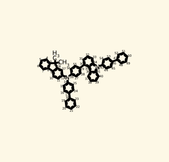 CC1(C)c2ccccc2-c2ccc(N(c3ccc(-c4ccccc4)cc3)c3ccc(-c4cccc5c4c4ccccc4n5-c4ccc(-c5ccccc5)cc4)cc3)cc21